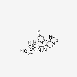 CC(C)(CN1C=NC(c2ccc(F)cc2)(c2ccnc(N)n2)C1)C(=O)O